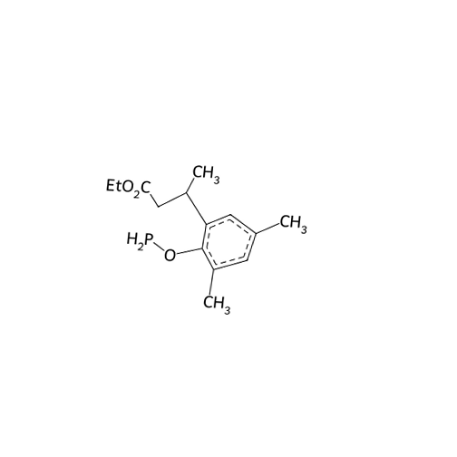 CCOC(=O)CC(C)c1cc(C)cc(C)c1OP